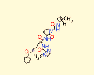 C[C@H]1C2CC1(NC(=O)Cn1cccc(NC(=O)[C@H](CC/C=C/C(=O)c3ccccc3)NC(=O)c3nccn3C)c1=O)C2